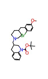 COc1ccc(Br)c(CC2CCN(CC3Cc4ccccc4N(C(=O)OC(C)(C)C)C3)CC2)c1